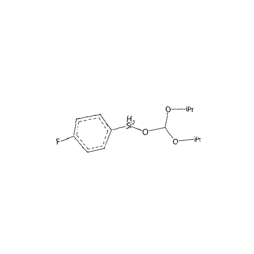 CC(C)OC(O[SiH2]c1ccc(F)cc1)OC(C)C